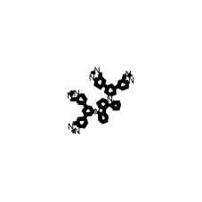 c1ccc2c(c1)c1c3c4ccccc4n(-c4cc(-c5ccc6ncncc6c5)cc(-c5ccc6ncncc6c5)c4)c3ccc1n2-c1cc(-c2ccc3ncncc3c2)cc(-c2ccc3ncncc3c2)c1